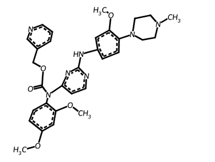 COc1ccc(N(C(=O)OCc2cccnc2)c2ccnc(Nc3ccc(N4CCN(C)CC4)c(OC)c3)n2)c(OC)c1